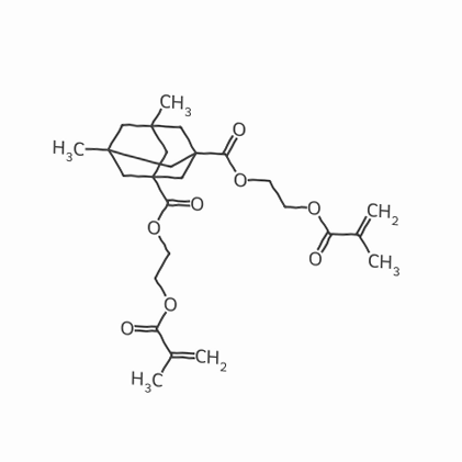 C=C(C)C(=O)OCCOC(=O)C12CC3(C)CC(C)(C1)CC(C(=O)OCCOC(=O)C(=C)C)(C3)C2